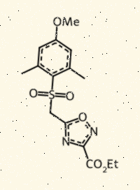 CCOC(=O)c1noc(CS(=O)(=O)c2c(C)cc(OC)cc2C)n1